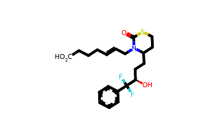 O=C(O)CCC/C=C/CN1C(=O)SCCC1CC[C@@H](O)C(F)(F)c1ccccc1